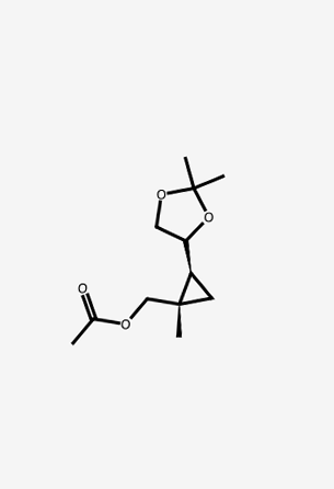 CC(=O)OC[C@@]1(C)C[C@@H]1C1COC(C)(C)O1